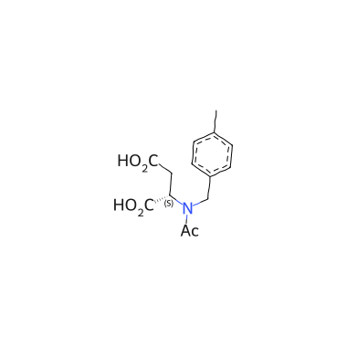 CC(=O)N(Cc1ccc(C)cc1)[C@@H](CC(=O)O)C(=O)O